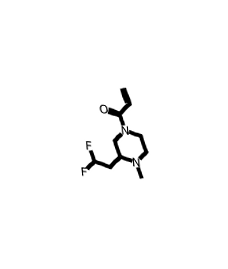 C=CC(=O)N1CCN(C)C(CC(F)F)C1